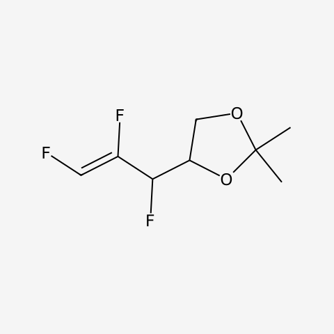 CC1(C)OCC(C(F)C(F)=CF)O1